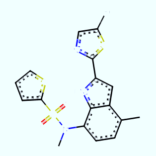 CCc1cnc(-c2cc3c(C)ccc(N(C)S(=O)(=O)c4cccs4)c3[nH]2)s1